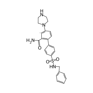 NC(=O)c1[c]c(N2CCNCC2)ccc1-c1ccc(S(=O)(=O)NCc2ccccc2)cc1